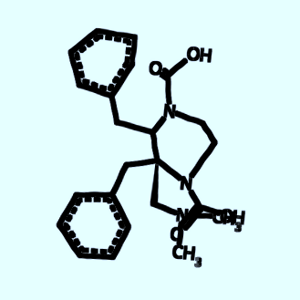 CN(C)C[C@@]1(Cc2ccccc2)C(Cc2ccccc2)N(C(=O)O)CCN1C(=O)O